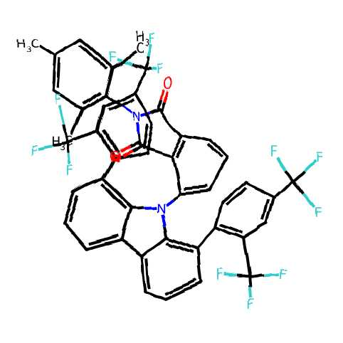 Cc1cc(C)c(N2C(=O)c3cccc(-n4c5c(-c6ccc(C(F)(F)F)cc6C(F)(F)F)cccc5c5cccc(-c6ccc(C(F)(F)F)cc6C(F)(F)F)c54)c3C2=O)c(C)c1